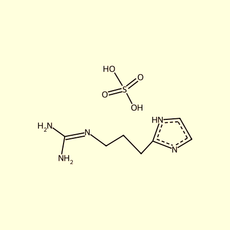 NC(N)=NCCCc1ncc[nH]1.O=S(=O)(O)O